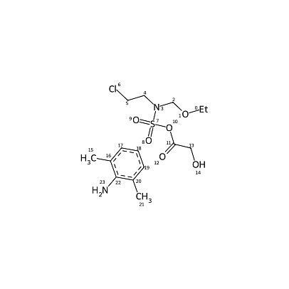 CCOCN(CCCl)S(=O)(=O)OC(=O)CO.Cc1cccc(C)c1N